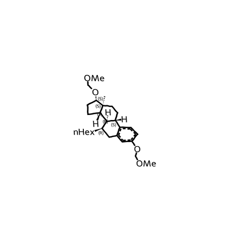 CCCCCC[C@@H]1Cc2cc(OCOC)ccc2[C@H]2CC[C@]3(C)[C@@H](OCOC)CC[C@H]3[C@H]12